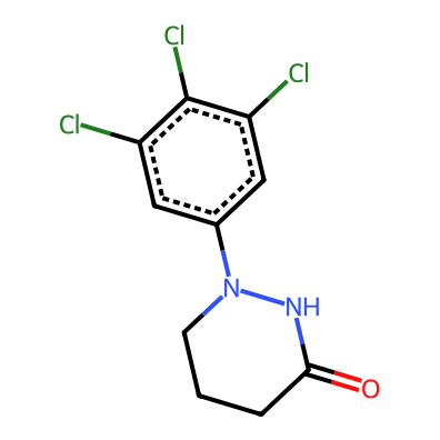 O=C1CCCN(c2cc(Cl)c(Cl)c(Cl)c2)N1